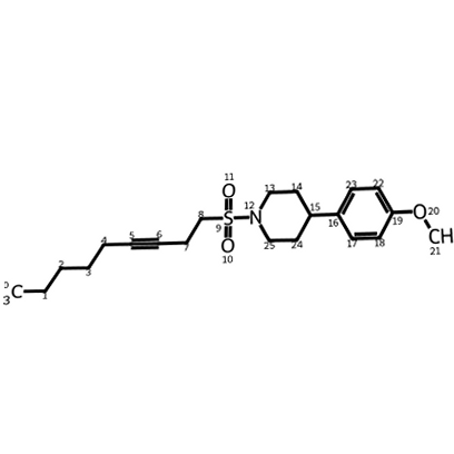 CCCCCC#CCCS(=O)(=O)N1CCC(c2ccc(OC)cc2)CC1